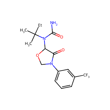 CCC(C)(C)N(C(N)=O)C1OCN(c2cccc(C(F)(F)F)c2)C1=O